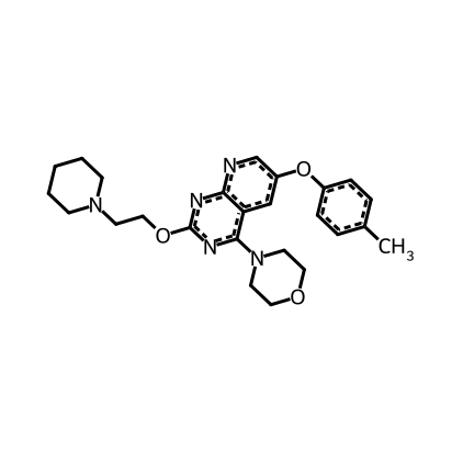 Cc1ccc(Oc2cnc3nc(OCCN4CCCCC4)nc(N4CCOCC4)c3c2)cc1